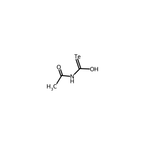 CC(=O)NC(O)=[Te]